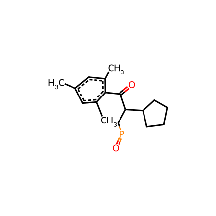 Cc1cc(C)c(C(=O)C(CP=O)C2CCCC2)c(C)c1